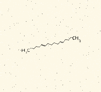 [CH2]CCCCC=CCCCCC=CCCCC